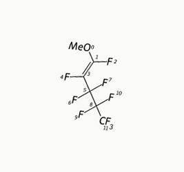 COC(F)=C(F)C(F)(F)C(F)(F)C(F)(F)F